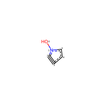 On1c#ccc1